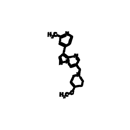 COC1CCN(Cc2cnc3c(-c4ccnc(C)c4)cnn3c2)CC1